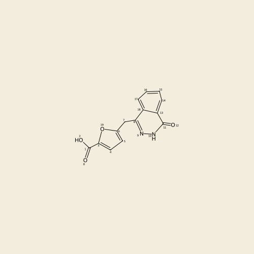 O=C(O)c1ccc(Cc2n[nH]c(=O)c3ccccc23)o1